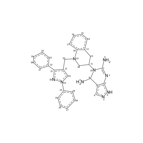 NC1=Nc2[nH]ncc2C(N)N1C1Cc2ccccc2N(Cc2cn(-c3ccccc3)nc2-c2ccccc2)C1